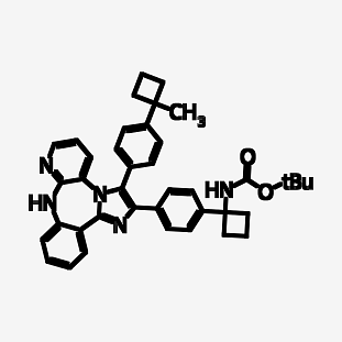 CC(C)(C)OC(=O)NC1(c2ccc(-c3nc4n(c3-c3ccc(C5(C)CCC5)cc3)-c3cccnc3Nc3ccccc3-4)cc2)CCC1